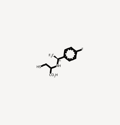 O=C(O)C(CS)N[C@H](c1ccc(F)cc1)C(F)(F)F